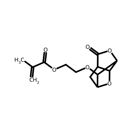 C=C(C)C(=O)OCCOC1C2CC3C(=O)OC1C3O2